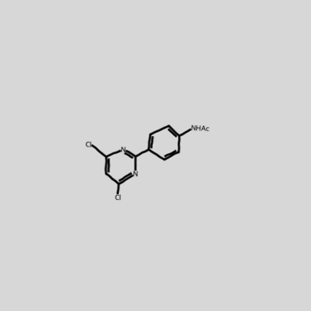 CC(=O)Nc1ccc(-c2nc(Cl)cc(Cl)n2)cc1